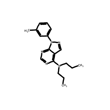 CCCN(CCC)c1ncnc2c1cnn2-c1cccc(C)c1